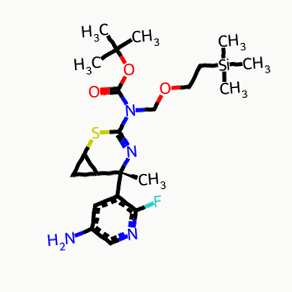 CC(C)(C)OC(=O)N(COCC[Si](C)(C)C)C1=N[C@](C)(c2cc(N)cnc2F)C2CC2S1